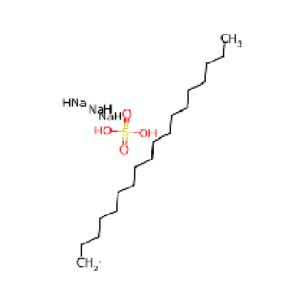 O=S(=O)(O)O.[CH2]CCCCCCCCCCCCCCCCC.[NaH].[NaH].[NaH]